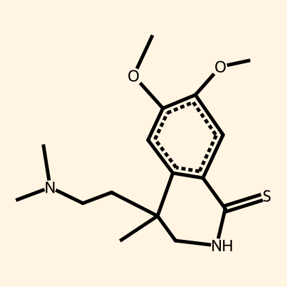 COc1cc2c(cc1OC)C(C)(CCN(C)C)CNC2=S